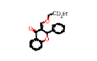 CCOC(=O)COC=C1C(=O)c2ccccc2OC1c1ccccc1